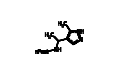 CCCCCNC(C)c1cn[nH]c1C